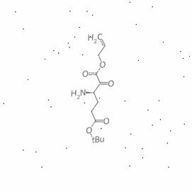 C=CCOC(=O)C(=O)[C@H](N)CCC(=O)OC(C)(C)C